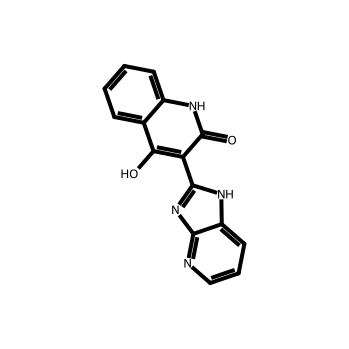 O=c1[nH]c2ccccc2c(O)c1-c1nc2ncccc2[nH]1